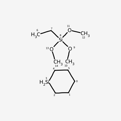 C1CC[SiH2]CC1.CC[Si](OC)(OC)OC